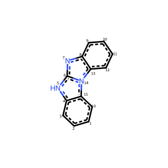 [c]1cccc2[nH]c3nc4ccccc4n3c12